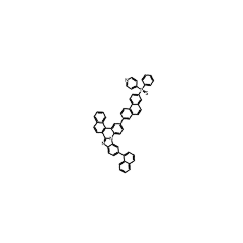 S=P(c1ccccc1)(c1ccncc1)c1ccc2c(ccc3cc(-c4ccc5c(c4)c4c6ccccc6ccc4c4nc6ccc(-c7cccc8ccccc78)cc6n54)ccc32)c1